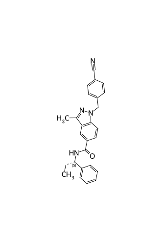 CC[C@H](NC(=O)c1ccc2c(c1)c(C)nn2Cc1ccc(C#N)cc1)c1ccccc1